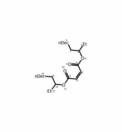 CCCCCCCCCCCC(CC)OC(=O)/C=C\C(=O)OC(CC)CCCCCCCCCCC